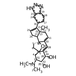 CN(C)[C@H]1C[C@@]23CC[C@@]4(O2)C(=CC[C@]2(C)C(c5ccc6nn[nH]c6c5)=CCC24)C=C3[C@@H](O)[C@@H]1O